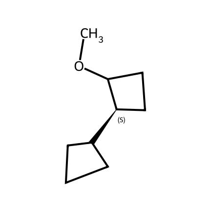 COC1CC[C@H]1C1CCC1